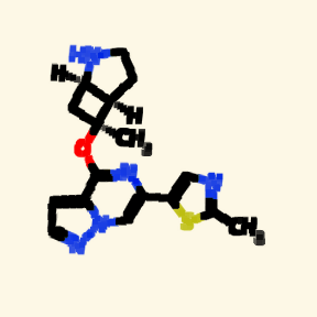 Cc1ncc(-c2cn3nccc3c(O[C@@]3(C)C[C@H]4NCC[C@H]43)n2)s1